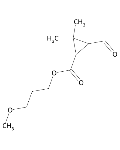 COCCCOC(=O)C1C(C=O)C1(C)C